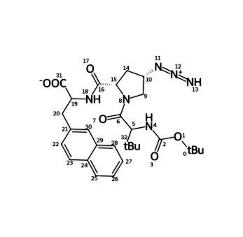 CC(C)(C)OC(=O)NC(C(=O)N1C[C@@H](N=[N+]=N)C[C@H]1C(=O)NC(Cc1ccc2ccccc2c1)C(=O)[O-])C(C)(C)C